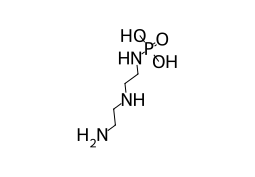 NCCNCCNP(=O)(O)O